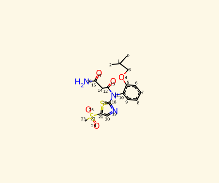 CC(C)COc1ccccc1N(C(=O)CC(N)=O)c1ncc(S(C)(=O)=O)s1